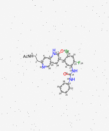 CC(=O)NCCc1cc2[nH]c(=O)c(-c3cc(NC(=O)Nc4ccccc4)c(F)cc3Br)cc2cn1